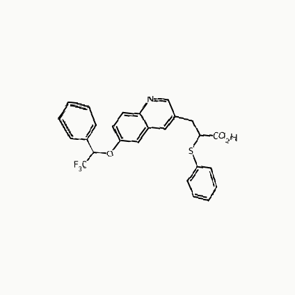 O=C(O)C(Cc1cnc2ccc(OC(c3ccccc3)C(F)(F)F)cc2c1)Sc1ccccc1